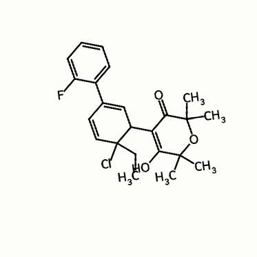 CCC1(Cl)C=CC(c2ccccc2F)=CC1C1=C(O)C(C)(C)OC(C)(C)C1=O